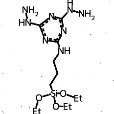 CCO[Si](CCCNc1nc(NN)nc(NN)n1)(OCC)OCC